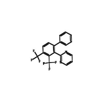 FC(F)(F)c1ccc(-c2ccccc2)c(-c2ncccn2)c1C(F)(F)F